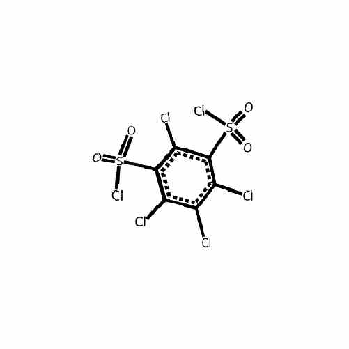 O=S(=O)(Cl)c1c(Cl)c(Cl)c(Cl)c(S(=O)(=O)Cl)c1Cl